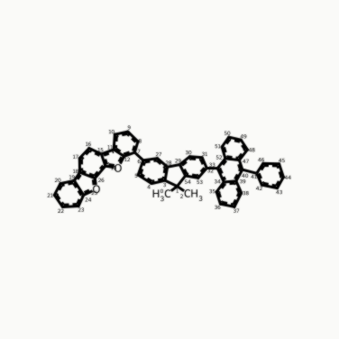 CC1(C)c2ccc(-c3cccc4c3oc3c4ccc4c5ccccc5oc43)cc2-c2ccc(-c3c4ccccc4c(-c4ccccc4)c4ccccc34)cc21